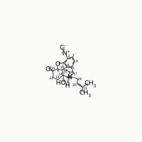 [C-]#[N+]c1ccc2c3c1OC1C(=O)CCC4(O)[C@@H](C2)N(CC=C(C)C)CC[C@]314